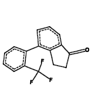 O=C1CCc2c1cccc2-c1ccccc1C(F)(F)F